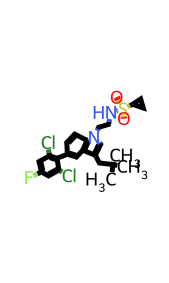 CC(C)(C)Cc1cn(CCNS(=O)(=O)C2CC2)c2ccc(-c3c(Cl)cc(F)cc3Cl)cc12